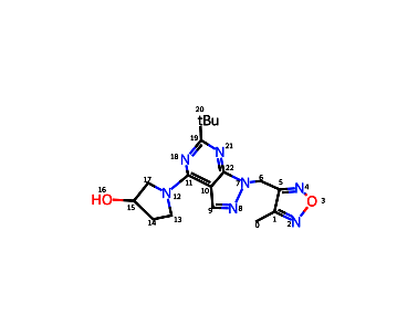 Cc1nonc1Cn1ncc2c(N3CCC(O)C3)nc(C(C)(C)C)nc21